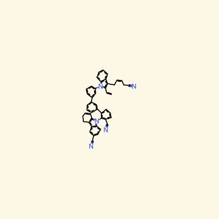 C=Cc1c(C/C=C\CC#N)c2ccccc2n1-c1cccc(-c2cccc(-c3cccc(C#N)c3-n3c4c(c5cc(C#N)ccc53)CCC=C4)c2)c1